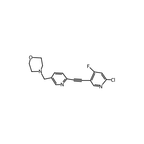 Fc1cc(Cl)ncc1C#Cc1ccc(CN2CCOCC2)cn1